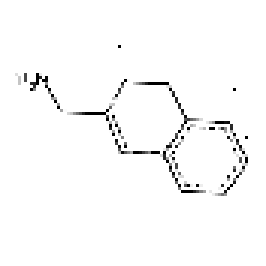 NCC1=Cc2ccccc2CC1